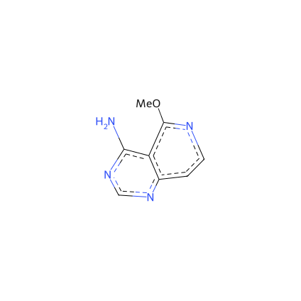 COc1nccc2ncnc(N)c12